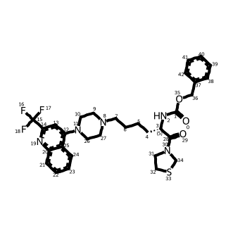 O=C(N[C@@H](CCCCN1CCN(c2cc(C(F)(F)F)nc3ccccc23)CC1)C(=O)N1CCSC1)OCc1ccccc1